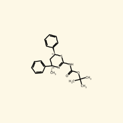 CC(C)(C)OC(=O)NC1=N[C@@](C)(c2ccccc2)C[C@@H](c2ccccc2)S1